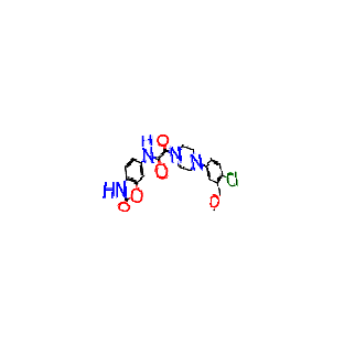 COCc1cc(N2CCN(C(=O)C(=O)Nc3ccc4[nH]c(=O)oc4c3)CC2)ccc1Cl